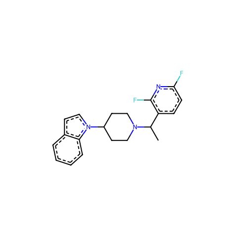 CC(c1ccc(F)nc1F)N1CCC(n2ccc3ccccc32)CC1